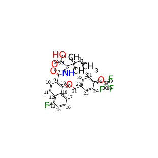 CCC(C)(C)[C@H](NC(=O)c1ccc2c(F)cccc2c1OCc1ccc(OC(F)(F)F)cc1)C(=O)O